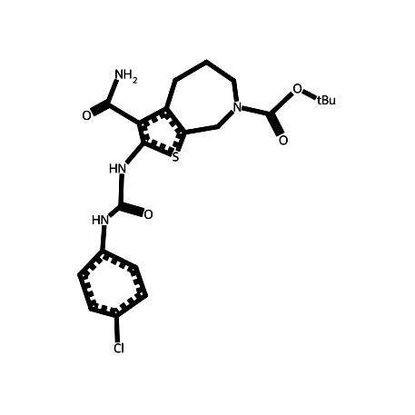 CC(C)(C)OC(=O)N1CCCc2c(sc(NC(=O)Nc3ccc(Cl)cc3)c2C(N)=O)C1